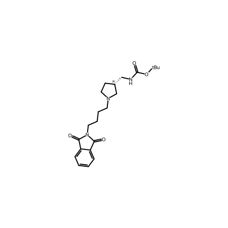 CC(C)(C)OC(=O)NC[C@H]1CCN(CCCCN2C(=O)c3ccccc3C2=O)C1